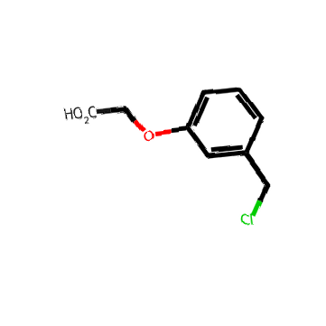 O=C(O)COc1cccc(CCl)c1